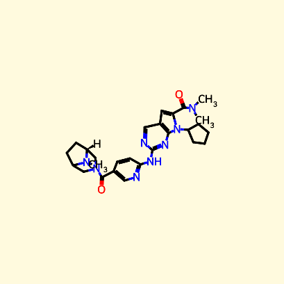 CN(C)C(=O)c1cc2cnc(Nc3ccc(C(=O)N4CC5CC[C@H](C4)N5C)cn3)nc2n1C1CCCC1